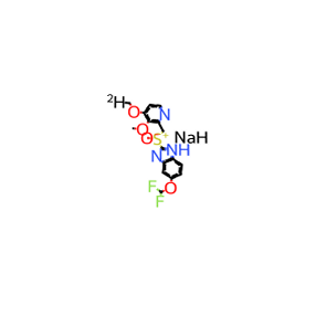 [2H]COc1ccnc(C[S+]([O-])c2nc3cc(OC(F)F)ccc3[nH]2)c1OC.[NaH]